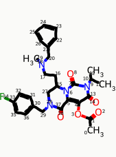 CC(=O)Oc1c2n(c(=O)n(C(C)C)c1=O)C(CCN(C)Cc1ccccc1)CN(Cc1ccc(F)cc1)C2=O